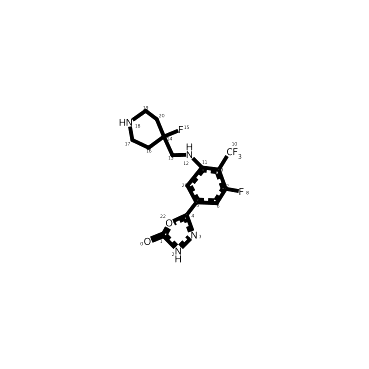 O=c1[nH]nc(-c2cc(F)c(C(F)(F)F)c(NCC3(F)CCNCC3)c2)o1